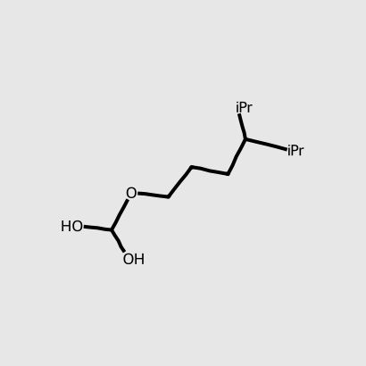 CC(C)C(CCCOC(O)O)C(C)C